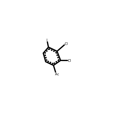 CC(=O)c1ccc(I)c(Cl)c1Cl